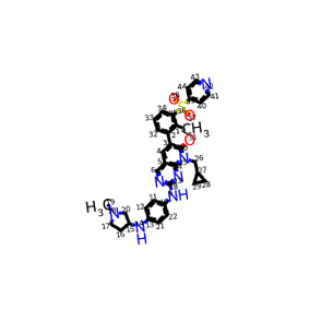 Cc1c(-c2cc3cnc(Nc4ccc(NC5CCN(C)C5)cc4)nc3n(CC3CC3)c2=O)cccc1S(=O)(=O)c1ccncc1